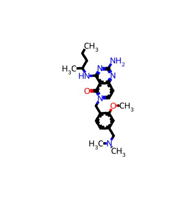 CCCC(C)Nc1nc(N)nc2ccn(Cc3ccc(CN(C)C)cc3OC)c(=O)c12